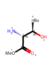 CCCC[C@@H](O)[C@@H](N)C(=O)OC